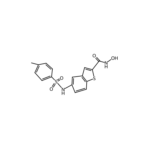 Cc1ccc(S(=O)(=O)Nc2ccc3sc(C(=O)NO)cc3c2)cc1